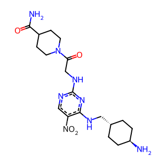 NC(=O)C1CCN(C(=O)CNc2ncc([N+](=O)[O-])c(NC[C@H]3CC[C@H](N)CC3)n2)CC1